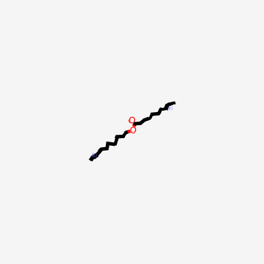 C/C=C/CCCCCCCOC(=O)CCCCCC/C=C/C